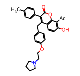 CC(=O)c1c(O)ccc2c(Cc3ccc(OCCN4CCCC4)cc3)c(-c3ccc(C)cc3)c(=O)oc12